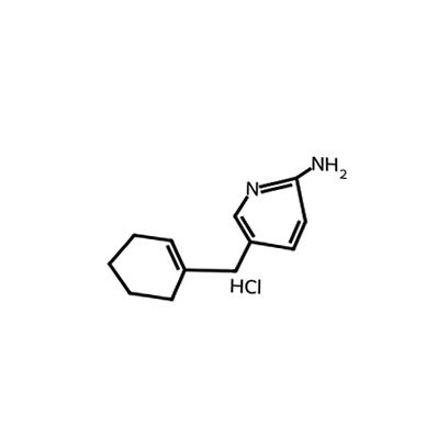 Cl.Nc1ccc(CC2=CCCCC2)cn1